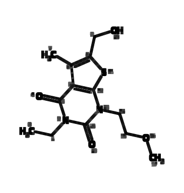 CCn1c(=O)c2c(C)c(CO)sc2n(CCOC)c1=O